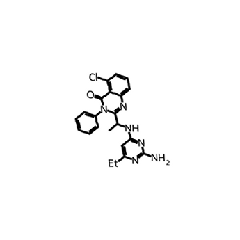 CCc1cc(NC(C)c2nc3cccc(Cl)c3c(=O)n2-c2ccccc2)nc(N)n1